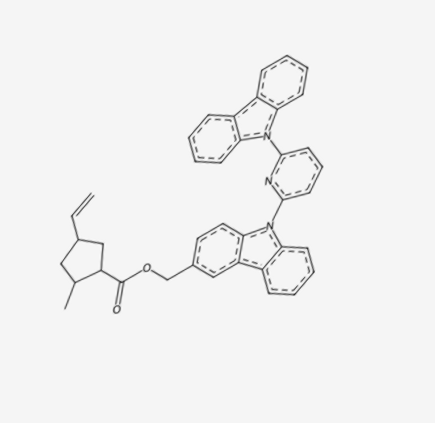 C=CC1CC(C)C(C(=O)OCc2ccc3c(c2)c2ccccc2n3-c2cccc(-n3c4ccccc4c4ccccc43)n2)C1